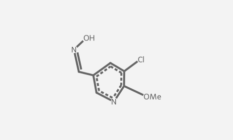 COc1ncc(/C=N\O)cc1Cl